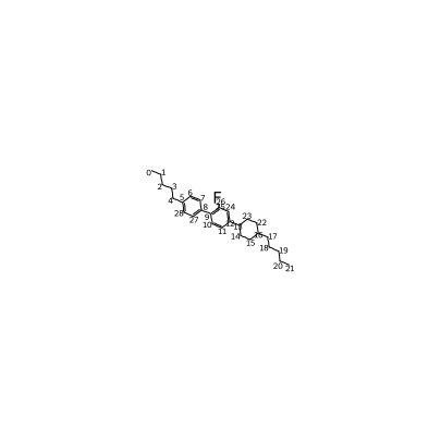 CCCCCc1ccc(-c2ccc(C3CCC(CCCCC)CC3)cc2F)cc1